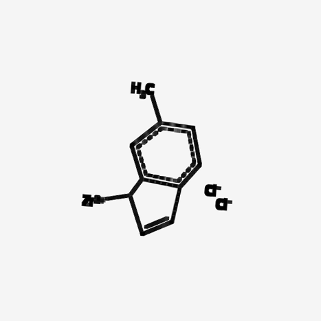 Cc1ccc2c(c1)[CH]([Zr+2])C=C2.[Cl-].[Cl-]